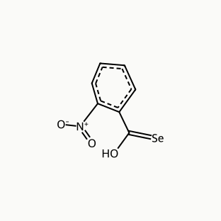 O=[N+]([O-])c1ccccc1C(O)=[Se]